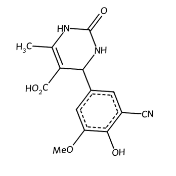 COc1cc(C2NC(=O)NC(C)=C2C(=O)O)cc(C#N)c1O